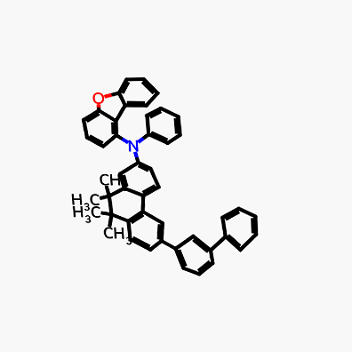 CC1(C)c2ccc(-c3cccc(-c4ccccc4)c3)cc2-c2ccc(N(c3ccccc3)c3cccc4oc5ccccc5c34)cc2C1(C)C